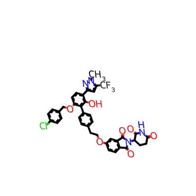 Cn1nc(-c2ccc(OCc3ccc(Cl)cc3)c(-c3ccc(CCOc4ccc5c(c4)C(=O)N(C4CCC(=O)NC4=O)C5=O)cc3)c2O)cc1C(F)(F)F